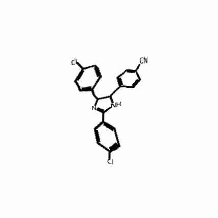 N#Cc1ccc(C2NC(c3ccc(Cl)cc3)=NC2c2ccc(Cl)cc2)cc1